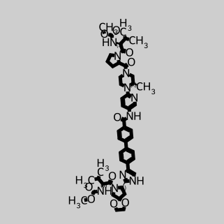 COC(=O)N[C@H](C(=O)N1CCCC1C(=O)N1CCN(c2ccc(NC(=O)c3ccc(-c4ccc(-c5c[nH]c([C@@H]6CC7(CN6C(=O)[C@@H](NC(=O)OC)C(C)C)OCCO7)n5)cc4)cc3)cn2)[C@H](C)C1)C(C)C